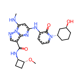 CNc1cc(Nc2cccn([C@H]3CCC[C@H](O)C3)c2=O)nc2c(C(=O)N[C@@H]3CC[C@H]3OC)cnn12